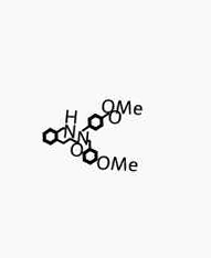 COC(=O)c1ccc(CN(Cc2cccc(OC)c2)C(=O)C2Cc3ccccc3CN2)cc1